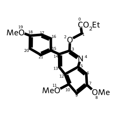 CCOC(=O)COc1nc2cc(OC)cc(OC)c2cc1-c1ccc(OC)cc1